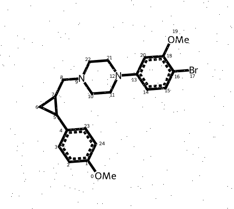 COc1ccc(C2CC2CN2CCN(c3ccc(Br)c(OC)c3)CC2)cc1